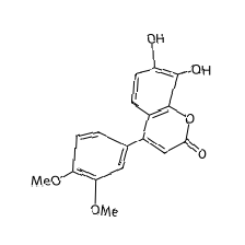 COc1ccc(-c2cc(=O)oc3c(O)c(O)ccc23)cc1OC